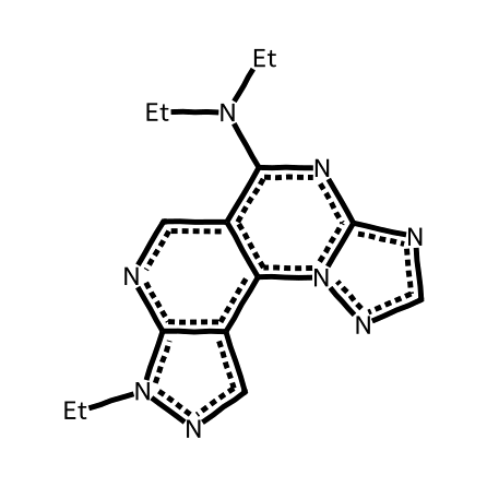 CCN(CC)c1nc2ncnn2c2c1cnc1c2cnn1CC